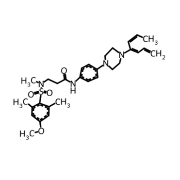 C=C/C=C(\C=C/C)N1CCN(c2ccc(NC(=O)CCN(C)S(=O)(=O)c3c(C)cc(OC)cc3C)cc2)CC1